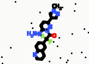 Cn1cc(-c2ccc(=NN)n(C(=O)C(F)(F)c3ccc4ncccc4c3)n2)cn1